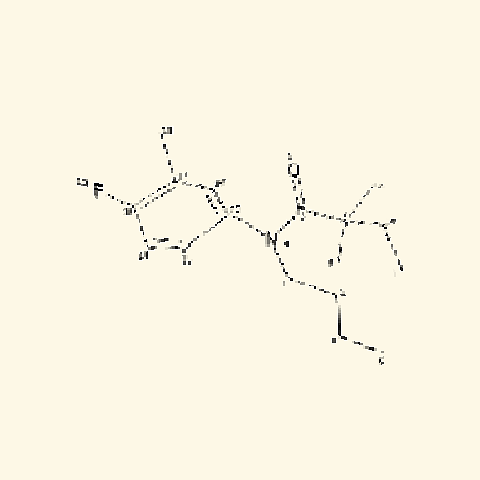 CCCCN(C(=O)C(C)(C)CC)c1ccc(F)c(C)c1